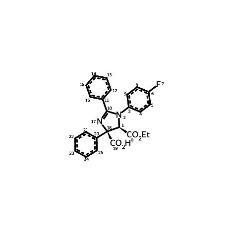 CCOC(=O)[C@@H]1N(c2ccc(F)cc2)C(c2ccccc2)=N[C@@]1(C(=O)O)c1ccccc1